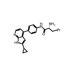 CC(C)C[C@@H](N)C(=O)Nc1ccc(-c2ccnc3[nH]c(C4CC4)cc23)cc1